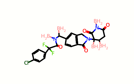 BC(c1ccc2c(c1)CN(C1(B)C(=O)N(B)C(=O)CC1B)C2=O)N(B)C(=O)C(F)(F)c1ccc(Cl)cc1